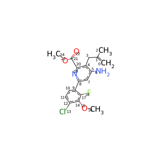 C=C(C)Cc1c(N)cc(-c2ccc(Cl)c(OC)c2F)nc1C(=O)OC